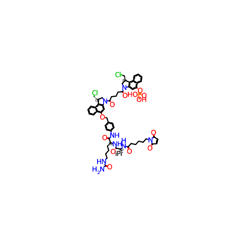 CC(C)[C@H](NC(=O)CCCCCN1C(=O)C=CC1=O)C(=O)N[C@@H](CCCCNC(N)=O)C(=O)Nc1ccc(COc2cc3c(c4ccccc24)[C@H](CCl)CN3C(=O)CCCC(=O)N2C[C@@H](CCl)c3c2cc(OP(=O)(O)O)c2ccccc32)cc1